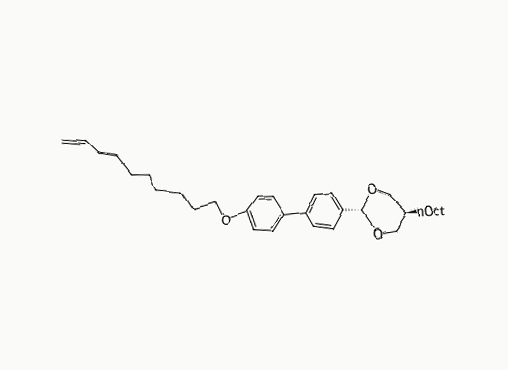 C=CCCCCCCCCOc1ccc(-c2ccc([C@H]3OC[C@H](CCCCCCCC)CO3)cc2)cc1